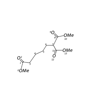 COC(=O)CCCCC(C(=O)OC)C(=O)OC